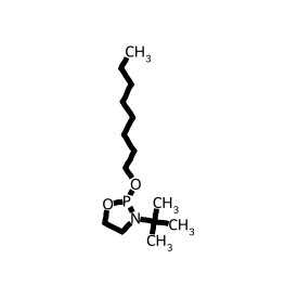 CCCCCCCCOP1OCCN1C(C)(C)C